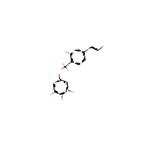 C/C=C/c1ccc(C(F)(F)Oc2cc(F)c(F)c(F)c2)c(F)c1